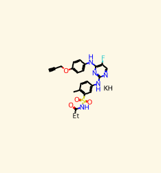 C#CCOc1ccc(Nc2nc(Nc3ccc(C)c(S(=O)(=O)NC(=O)CC)c3)ncc2F)cc1.[KH]